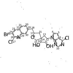 OC1C(n2ccc3c(Cl)ncnc32)CC2(COC(Cc3ccc4cc(Br)c(Cl)nc4c3)C2)C1O